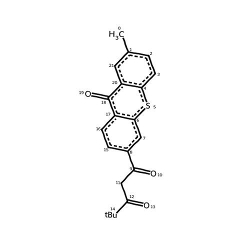 Cc1ccc2sc3cc(C(=O)CC(=O)C(C)(C)C)ccc3c(=O)c2c1